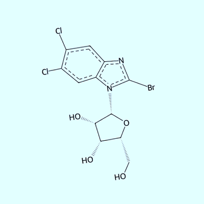 OC[C@H]1O[C@@H](n2c(Br)nc3cc(Cl)c(Cl)cc32)[C@@H](O)[C@H]1O